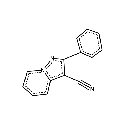 N#Cc1c(-c2ccccc2)nn2ccccc12